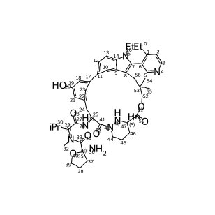 CCc1ccncc1-c1c2c3cc(ccc3n1CC)-c1cc(O)cc(c1)C[C@H](NC(=O)[C@H](C(C)C)N(C)C(=O)[C@@]1(N)CCCO1)C(=O)N1CCC[C@H](N1)C(=O)OCC(C)(C)C2